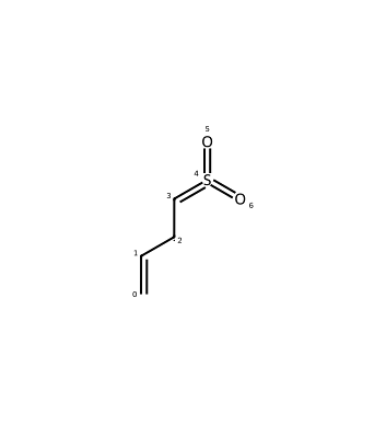 C=C[CH]C=S(=O)=O